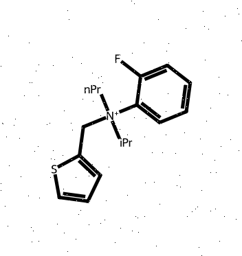 CCC[N+](Cc1cccs1)(c1ccccc1F)C(C)C